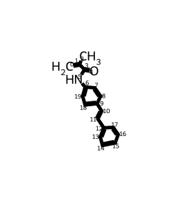 C=C(C)C(=O)Nc1ccc(C=Cc2ccccc2)cc1